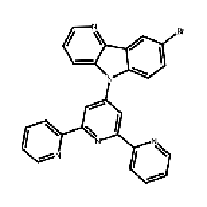 Brc1ccc2c(c1)c1ncccc1n2-c1cc(-c2ccccn2)nc(-c2ccccn2)c1